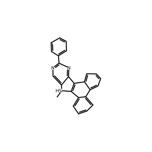 C[SiH]1c2cnc(-c3ccccc3)nc2-c2c1c1ccccc1c1ccccc21